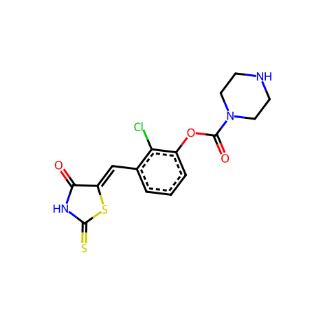 O=C1NC(=S)S/C1=C\c1cccc(OC(=O)N2CCNCC2)c1Cl